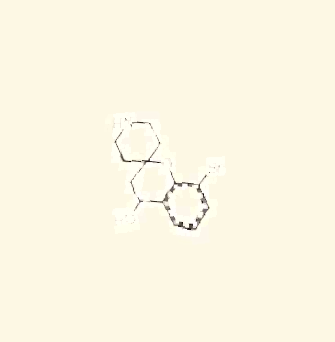 OC1CC2(CCNCC2)Oc2c(Br)cccc21